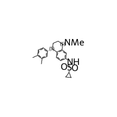 CN[C@H]1CC[C@@H](c2ccc(C)c(C)c2)c2ccc(NS(=O)(=O)C3CC3)cc21